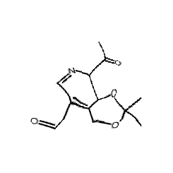 CC(=O)C1N=CC(C=O)=C2COC(C)(C)OC21